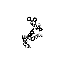 CC(C)(C)OC(=O)N1CCC[C@@H](/N=C(/N[C@@H]2CCCN(C(=O)OC(C)(C)C)C2)N2Cc3ccc(OC[C@@H](CC(=O)OC(c4ccccc4)c4ccccc4)ON4C(=O)c5ccccc5C4=O)cc3C2)C1